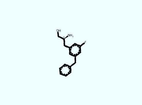 N[C@H](CO)Cc1cc(F)cc(Cc2ccccc2)c1